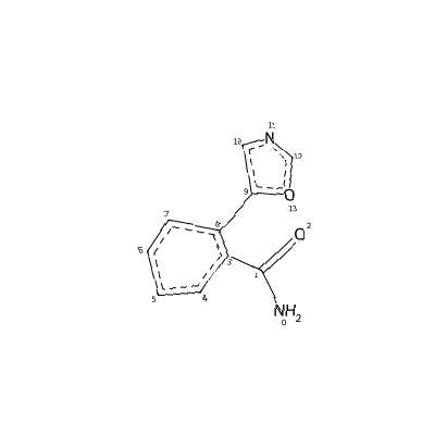 NC(=O)c1ccccc1-c1cnco1